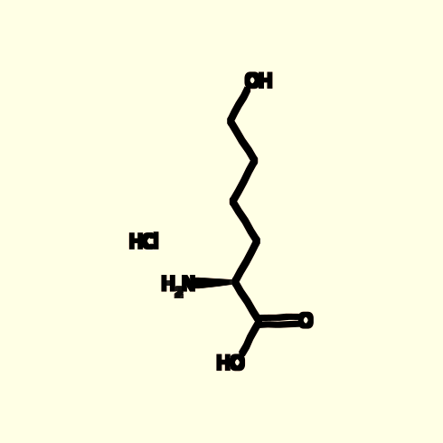 Cl.N[C@@H](CCCCO)C(=O)O